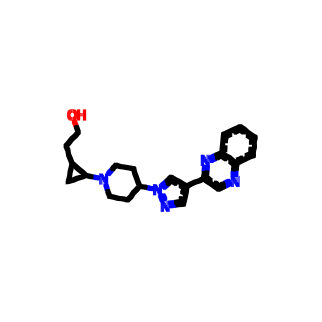 OCCC1CC1N1CCC(n2cc(-c3cnc4ccccc4n3)cn2)CC1